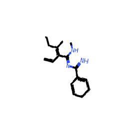 C=CC(/C(=N/C(=N)C1=CCCC=C1)NC)=C(/C)CC